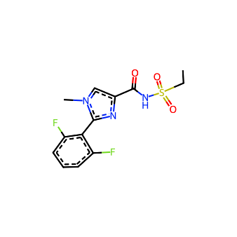 CCS(=O)(=O)NC(=O)c1cn(C)c(-c2c(F)cccc2F)n1